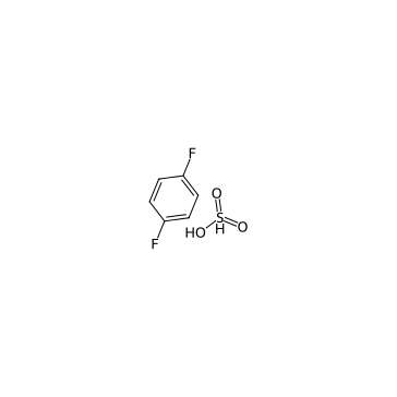 Fc1ccc(F)cc1.O=[SH](=O)O